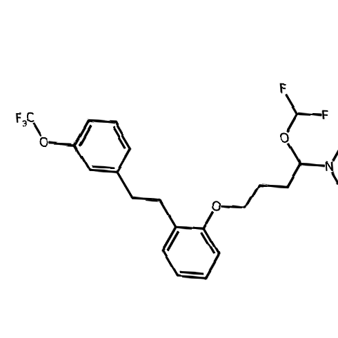 CN(C)C(CCCOc1ccccc1CCc1cccc(OC(F)(F)F)c1)OC(F)F